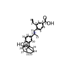 C=Cc1cc(C(=O)O)ccc1/C=C(\C)c1ccc(O)c(C23CC4CC(CC(C4)C2)C3)c1